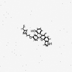 CC1=C(c2cccc(O)c2)C(c2ccc(OCCN3CC(CF)C3)cn2)Oc2c1ccc1[nH]ncc21